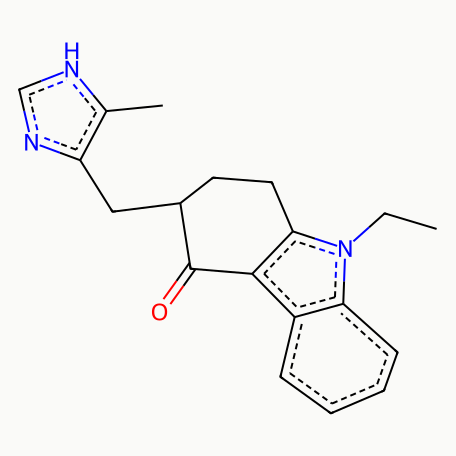 CCn1c2c(c3ccccc31)C(=O)C(Cc1nc[nH]c1C)CC2